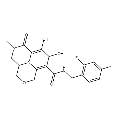 CN1CC2COCC3=C(C(=O)NCc4ccc(F)cc4F)C(O)C(O)=C(C1=O)N32